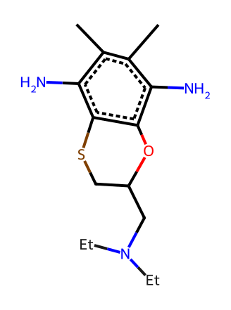 CCN(CC)CC1CSc2c(N)c(C)c(C)c(N)c2O1